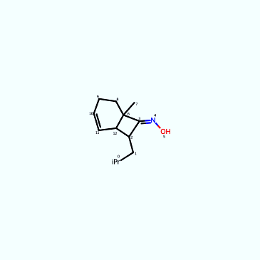 CC(C)CC1/C(=N\O)C2(C)CCC=CC12